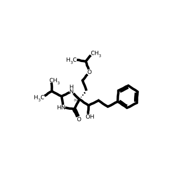 CC(C)OCC[C@@]1(C(O)[CH]Cc2ccccc2)NC(C(C)C)NC1=O